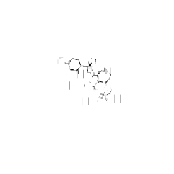 CC1OC(C)(C)Oc2cncc(NC(=O)c3ccc(F)cc3)c21